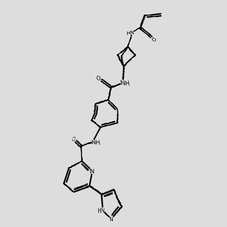 C=CC(=O)NC12CC(NC(=O)c3ccc(NC(=O)c4cccc(-c5ccn[nH]5)n4)cc3)(C1)C2